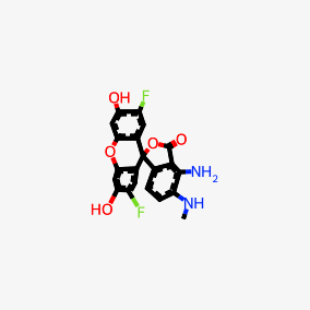 CNc1ccc2c(c1N)C(=O)OC21c2cc(F)c(O)cc2Oc2cc(O)c(F)cc21